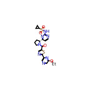 CCOc1cncc(-c2ncc(C(=O)N3CCC[C@@H]3c3ccnc(NS(=O)(=O)C4CC4)n3)s2)n1